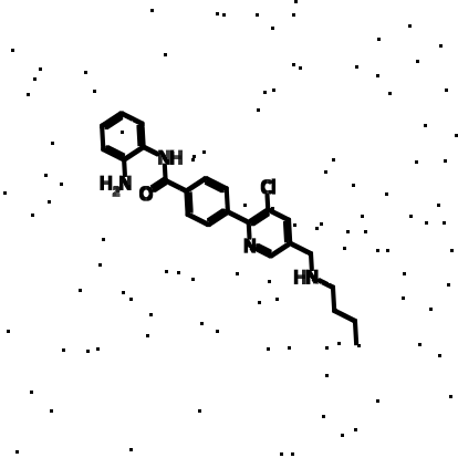 CCCCNCc1cnc(-c2ccc(C(=O)Nc3ccccc3N)cc2)c(Cl)c1